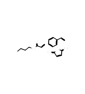 C=CC(=O)OCCCC.C=Cc1ccccc1.O=C1C=CC(=O)O1